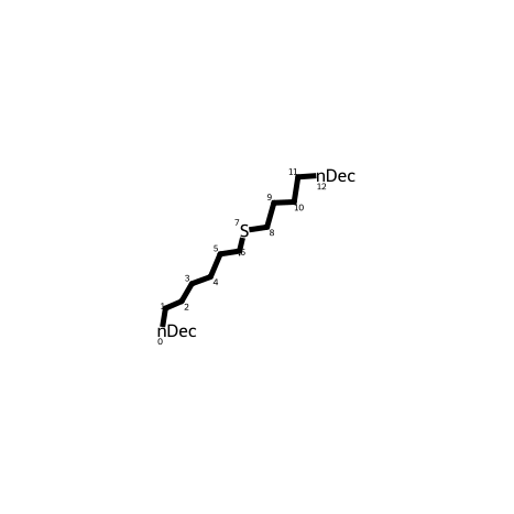 CCCCCCCCCCCCCCC[CH]SCCCCCCCCCCCCCC